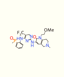 COCCn1c2c(cc(Nc3ncc(C(F)(F)F)c(Nc4ccccc4P(C)(C)=O)n3)c1=O)CN(C)CC2